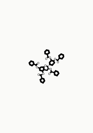 O=C(Oc1cc(OC(=O)c2ccccc2)c2c(c1)O[C@H](c1ccc(OC(=O)c3ccccc3)c(OC(=O)c3ccccc3)c1)[C@@H](OC(=O)c1ccccc1)C2)c1ccccc1